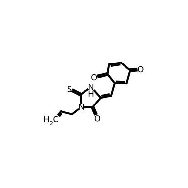 C=CCN1C(=O)C(=CC2=CC(=O)C=CC2=O)NC1=S